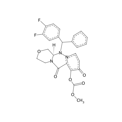 COC(=O)Oc1c2n(ccc1=O)N(C(c1ccccc1)c1ccc(F)c(F)c1)[C@@H]1COCCN1C2=O